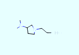 CN(C)C1CCN(CCC=O)C1